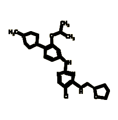 CC(C)Oc1cc(Nc2ncc(Cl)c(NC[C@H]3CCCO3)n2)ccc1N1CCN(C)CC1